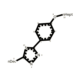 CCCCCCCCCCc1nnc(-c2ccc(OCCCCCCC)cc2)s1